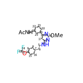 COc1nc(NCCc2ccc(OC(F)F)cc2)cc(-c2cccc(NC(C)=O)c2)n1